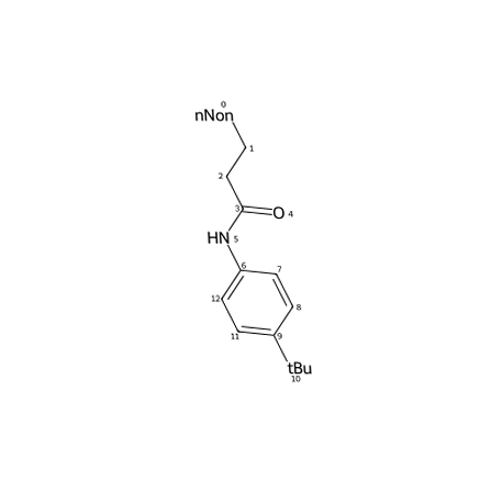 CCCCCCCCCCCC(=O)Nc1ccc(C(C)(C)C)cc1